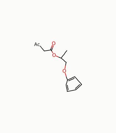 CC(=O)CC(=O)OC(C)COc1ccccc1